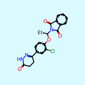 CCC(Oc1ccc(C2=NNC(=O)CC2)cc1Cl)N1C(=O)c2ccccc2C1=O